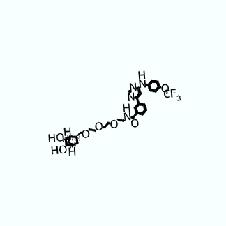 O=C(NCCOCCOCCOC[C@H]1C[C@@H]2C[C@@H]1[C@@H](O)[C@H]2O)c1cccc(-c2cc(Nc3ccc(OC(F)(F)F)cc3)ncn2)c1